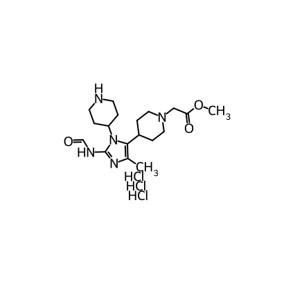 COC(=O)CN1CCC(c2c(C)nc(NC=O)n2C2CCNCC2)CC1.Cl.Cl.Cl